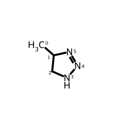 CC1CNN=N1